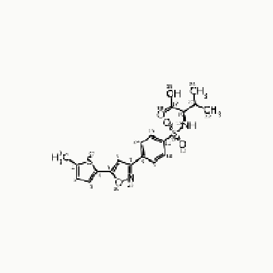 Cc1ccc(-c2cc(-c3ccc(S(=O)(=O)N[C@@H](C(=O)O)C(C)C)cc3)no2)s1